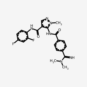 CN(C)C(=N)c1ccc(C(=O)Nc2c(C(=O)Nc3ccc(F)cc3F)cnn2C)cc1